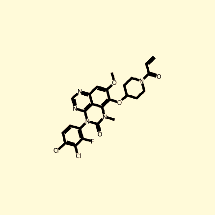 C=CC(=O)N1CCC(Oc2c(OC)cc3ncnc4c3c2N(C)C(=O)N4c2ccc(Cl)c(Cl)c2F)CC1